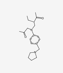 CCC(CN(CC(C)=O)c1ccc(CN2CCCC2)cc1)C(C)=O